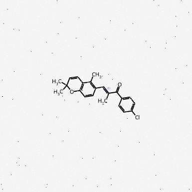 C/C(=C\c1ccc2c(c1C)C=CC(C)(C)O2)C(=O)c1ccc(Cl)cc1